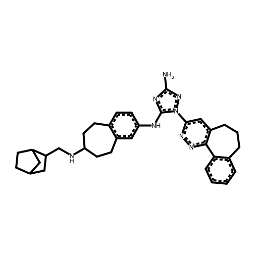 Nc1nc(Nc2ccc3c(c2)CCC(NCC2CC4CCC2C4)CC3)n(-c2cc3c(nn2)-c2ccccc2CCC3)n1